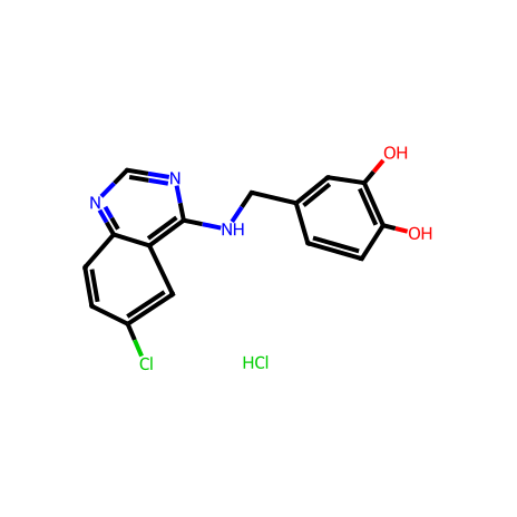 Cl.Oc1ccc(CNc2ncnc3ccc(Cl)cc23)cc1O